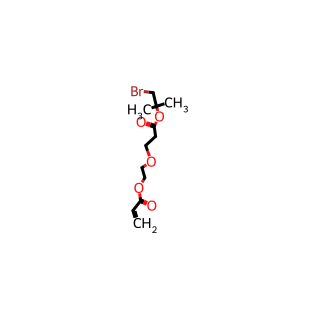 C=CC(=O)OCCOCCC(=O)OC(C)(C)CBr